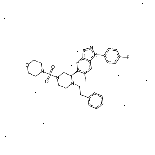 Cc1cc2c(cnn2-c2ccc(F)cc2)cc1[C@@H]1CN(S(=O)(=O)N2CCOCC2)CCN1CCc1ccccc1